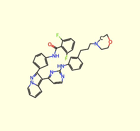 O=C(Nc1cccc(-c2nn3ccccc3c2-c2ccnc(Nc3cccc(CCCN4CCOCC4)c3)n2)c1)c1c(F)cccc1F